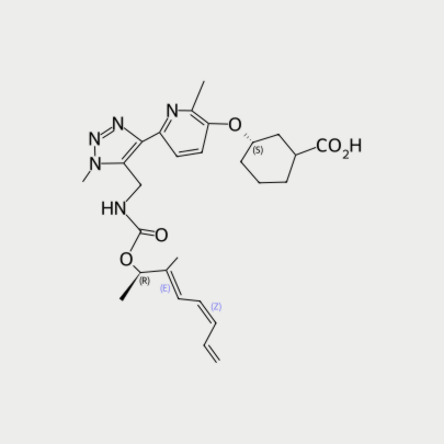 C=C/C=C\C=C(/C)[C@@H](C)OC(=O)NCc1c(-c2ccc(O[C@H]3CCCC(C(=O)O)C3)c(C)n2)nnn1C